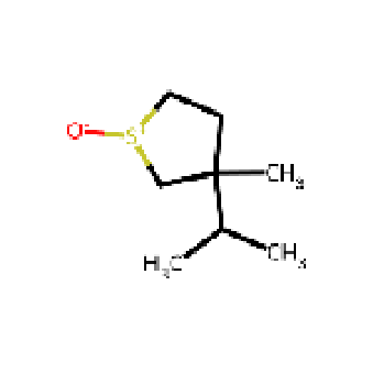 CC(C)C1(C)CC[S+]([O-])C1